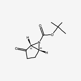 CC(C)(C)OC(=O)N1[C@@H]2CCC(=O)[C@@H]21